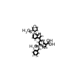 CO[C@H]1COCC[C@@H]1n1cccc2c(-c3cc(N(C)Cc4ccccc4)n4ncc(C(O)O)c4n3)cnc1-2